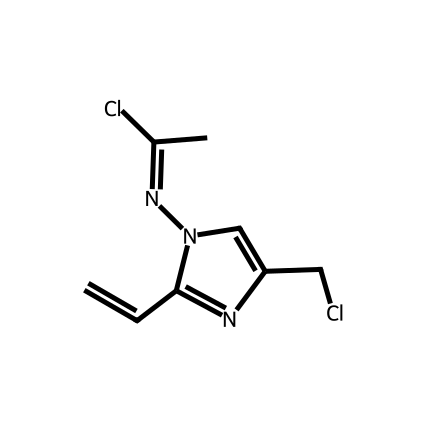 C=Cc1nc(CCl)cn1/N=C(\C)Cl